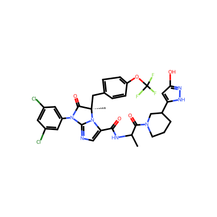 CC(NC(=O)c1cnc2n1[C@](C)(Cc1ccc(OC(F)(F)F)cc1)C(=O)N2c1cc(Cl)cc(Cl)c1)C(=O)N1CCCC(c2cc(O)n[nH]2)C1